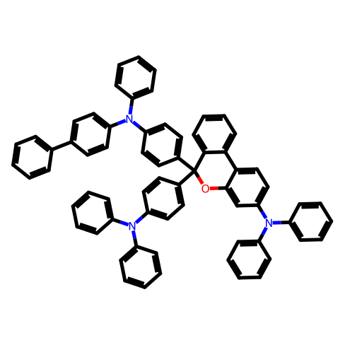 c1ccc(-c2ccc(N(c3ccccc3)c3ccc(C4(c5ccc(N(c6ccccc6)c6ccccc6)cc5)Oc5cc(N(c6ccccc6)c6ccccc6)ccc5-c5ccccc54)cc3)cc2)cc1